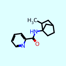 CC1CC2CCC1(NC(=O)c1ccccn1)C2